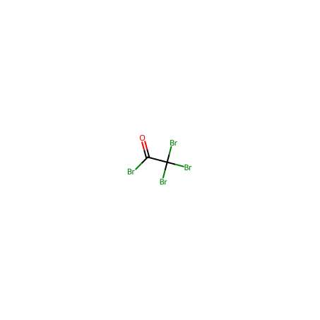 O=C(Br)C(Br)(Br)Br